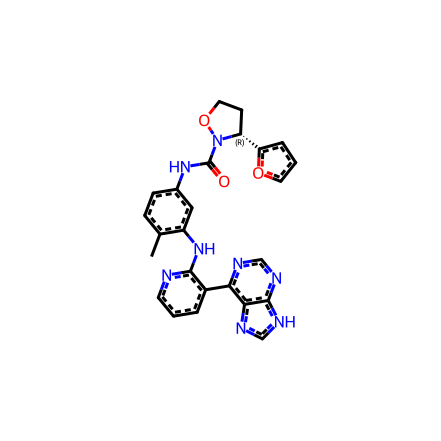 Cc1ccc(NC(=O)N2OCC[C@@H]2c2ccco2)cc1Nc1ncccc1-c1ncnc2[nH]cnc12